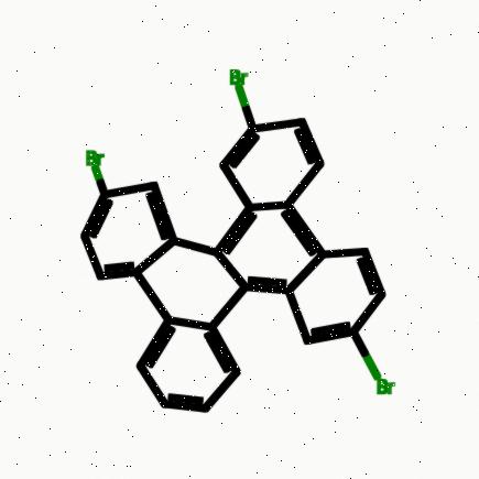 Brc1ccc2c3ccc(Br)cc3c3c4cc(Br)ccc4c4ccccc4c3c2c1